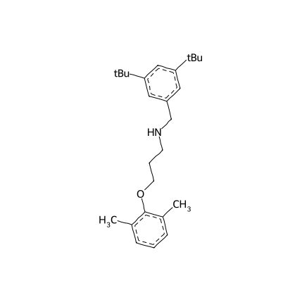 Cc1cccc(C)c1OCCCNCc1cc(C(C)(C)C)cc(C(C)(C)C)c1